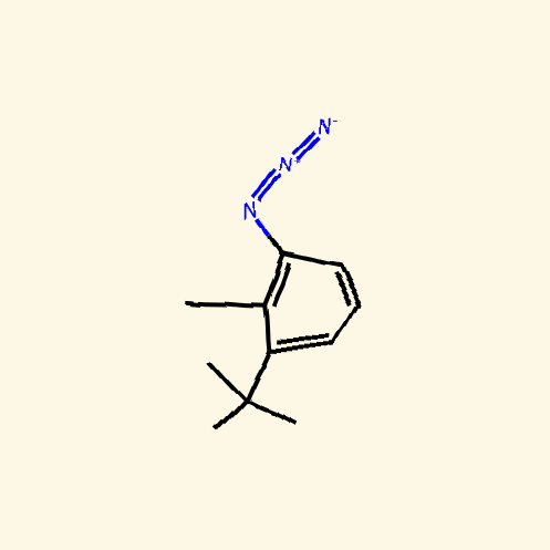 Cc1c(N=[N+]=[N-])cccc1C(C)(C)C